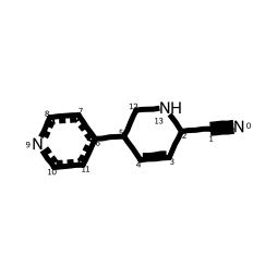 N#CC1C=CC(c2ccncc2)CN1